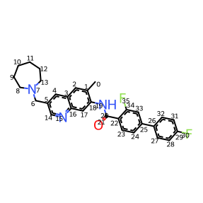 Cc1cc2cc(CN3CCCCCC3)cnc2cc1NC(=O)c1ccc(-c2ccc(F)cc2)cc1F